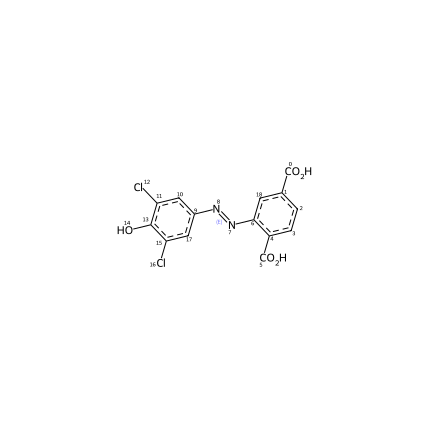 O=C(O)c1ccc(C(=O)O)c(/N=N/c2cc(Cl)c(O)c(Cl)c2)c1